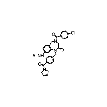 CC(=O)Nc1ccc2c(c1)N(Cc1ccc(C(=O)N3CC=CC3)cc1)C(=O)CN(C(=O)c1ccc(Cl)cc1)C2